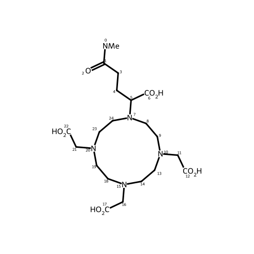 CNC(=O)CCC(C(=O)O)N1CCN(CC(=O)O)CCN(CC(=O)O)CCN(CC(=O)O)CC1